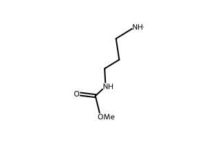 COC(=O)NCCC[NH]